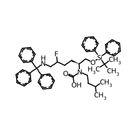 CC(C)CCN(C(=O)O)[C@@H](CCC(F)CNC(c1ccccc1)(c1ccccc1)c1ccccc1)CO[Si](c1ccccc1)(c1ccccc1)C(C)(C)C